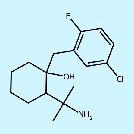 CC(C)(N)C1CCCCC1(O)Cc1cc(Cl)ccc1F